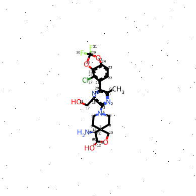 Cc1nc(N2CCC3(CC2)CO[C@@H](O)[C@H]3N)c(CO)nc1-c1ccc2c(c1Cl)OC(F)(F)O2